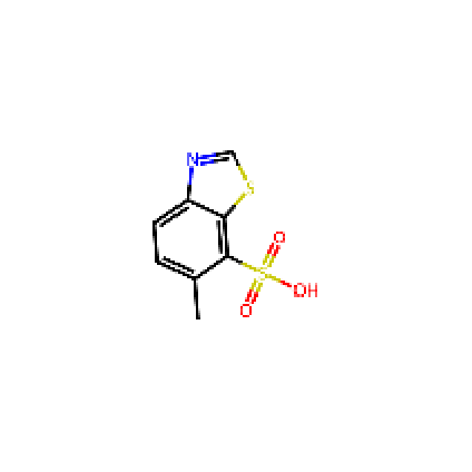 Cc1ccc2ncsc2c1S(=O)(=O)O